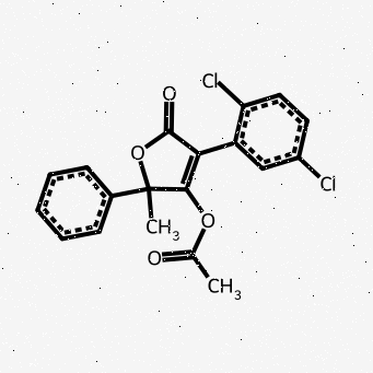 CC(=O)OC1=C(c2cc(Cl)ccc2Cl)C(=O)OC1(C)c1ccccc1